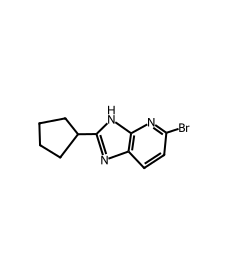 Brc1ccc2nc(C3CCCC3)[nH]c2n1